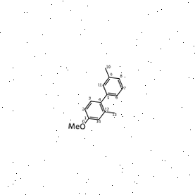 COc1ccc(-c2cccc(C)c2)c(C)c1